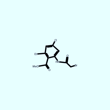 CCc1cc(Cl)cc(NC(=O)CBr)c1C(=O)OC